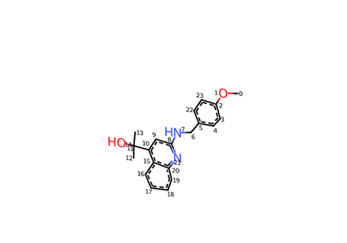 COc1ccc(CNc2cc(C(C)(C)O)c3ccccc3n2)cc1